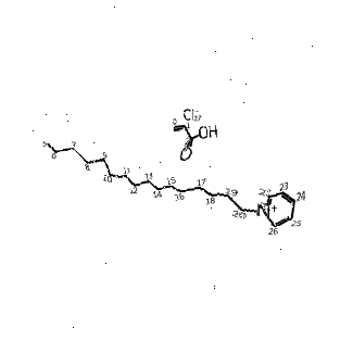 C=CC(=O)O.CCCCCCCCCCCCCCCC[n+]1ccccc1.[Cl-]